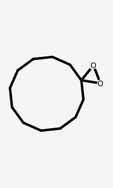 C1CCCCCC2(CCCCC1)OO2